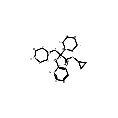 O=C(NC1CC1)C(CN1CCOCC1)(Sc1ccccn1)N1CCCCC1